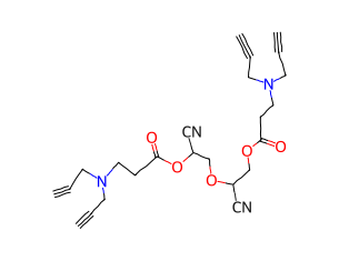 C#CCN(CC#C)CCC(=O)OCC(C#N)OCC(C#N)OC(=O)CCN(CC#C)CC#C